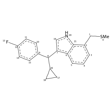 CSCc1cccc2c(C(c3ccc(F)cc3)C3CC3)c[nH]c12